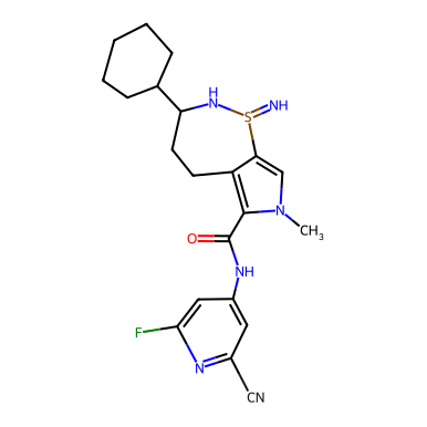 Cn1cc2c(c1C(=O)Nc1cc(F)nc(C#N)c1)CCC(C1CCCCC1)NS2=N